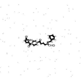 O=CN(CCCC(=O)N1CCN(C(=O)C2CCC(=O)N2)CC1)OCc1ccccc1